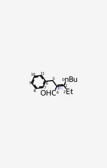 CCCC/C(CC)=C(/C=O)Cc1ccccc1